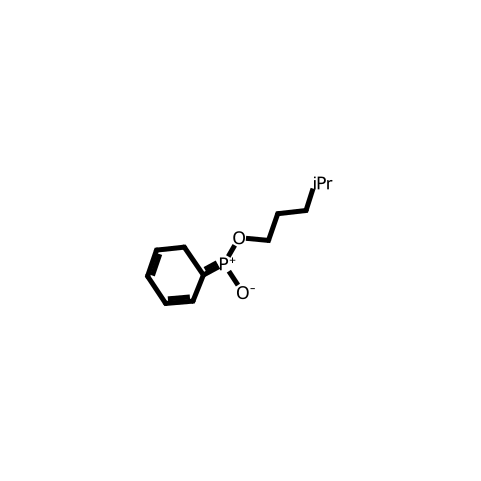 CC(C)CCCO/[P+]([O-])=C1/C=CC=CC1